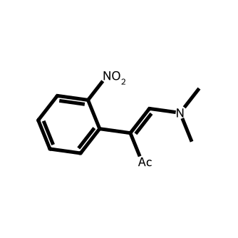 CC(=O)C(=CN(C)C)c1ccccc1[N+](=O)[O-]